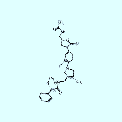 CO[C@H](C(=O)NC[C@H]1CN(c2ccc(N3CC(CNC(C)=O)OC3=O)cc2F)C[C@@H]1C)c1ccccc1